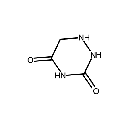 O=C1CNNC(=O)N1